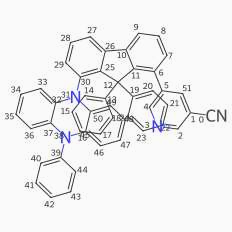 N#Cc1cncc(-c2cccc3c2C(c2ccccc2)(c2ccccc2)c2c-3cccc2N2c3ccccc3N(c3ccccc3)c3ccccc32)c1